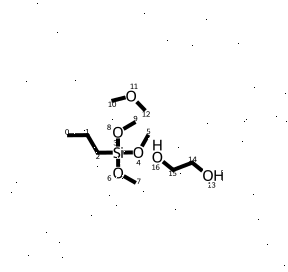 CCC[Si](OC)(OC)OC.COC.OCCO